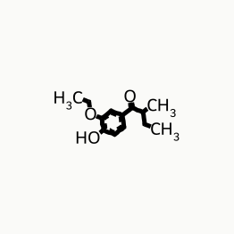 CCOc1cc(C(=O)C(C)CC)ccc1O